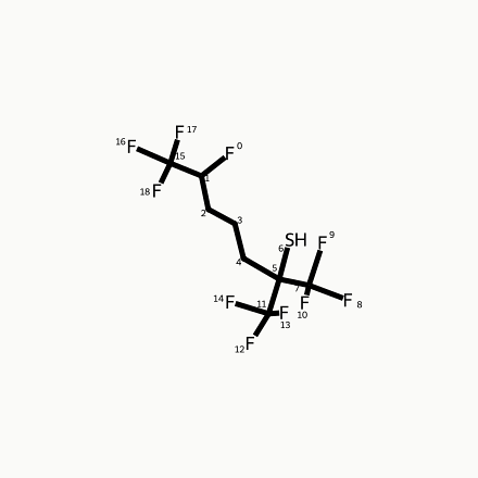 FC(CCCC(S)(C(F)(F)F)C(F)(F)F)C(F)(F)F